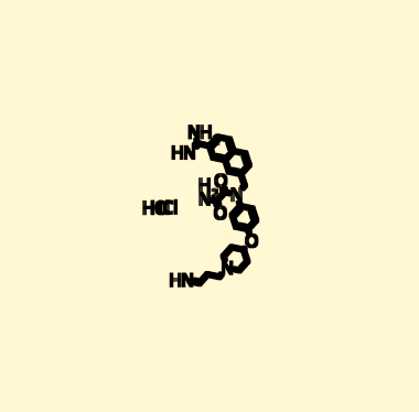 Cl.Cl.N=CCCN1CCC(Oc2ccc(N(Cc3ccc4ccc(C(=N)N)cc4c3)C(=O)C(N)=O)cc2)CC1